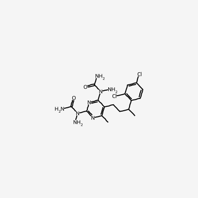 Cc1nc(N(N)C(N)=O)nc(N(N)C(N)=O)c1CCC(C)c1ccc(Cl)cc1Cl